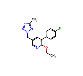 CCOc1ncc(Cn2nnc(C)n2)cc1-c1ccc(F)cc1